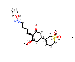 CCONCCCC=C1C(=O)CC(C2=CCCS(=O)(=O)C2)CC1=O